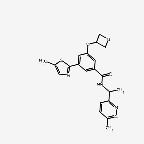 Cc1ccc(C(C)NC(=O)c2cc(OC3COC3)cc(-c3ncc(C)s3)c2)nn1